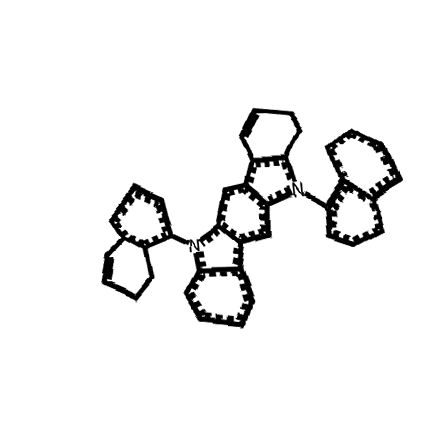 C1=Cc2cccc(-n3c4ccccc4c4cc5c(cc43)c3c(n5-c4cccc5ccccc45)CCC=C3)c2CC1